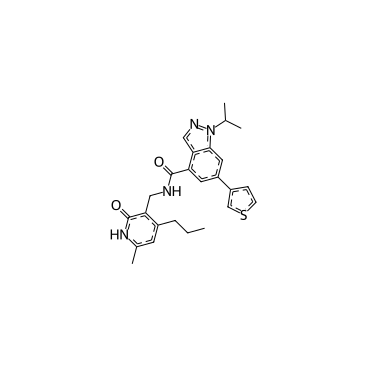 CCCc1cc(C)[nH]c(=O)c1CNC(=O)c1cc(-c2ccsc2)cc2c1cnn2C(C)C